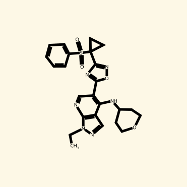 CCn1ncc2c(NC3CCOCC3)c(-c3nc(C4(S(=O)(=O)c5ccccc5)CC4)no3)cnc21